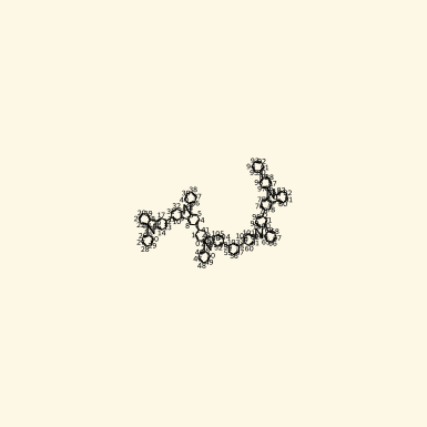 C1=CC(c2ccc3c(c2)c2cc(-c4ccc5c(c4)c4ccccc4n5-c4ccccc4)ccc2n3-c2ccccc2)Cc2c1n(-c1ccccc1)c1cc(-c3cccc(-c4ccc(-n5c6ccccc6c6cc(-c7ccc8c(c7)c7ccccc7n8-c7ccc(-c8ccccc8)cc7)ccc65)cc4)c3)ccc21